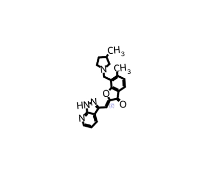 Cc1ccc2c(c1CN1CCC(C)C1)O/C(=C\c1n[nH]c3ncccc13)C2=O